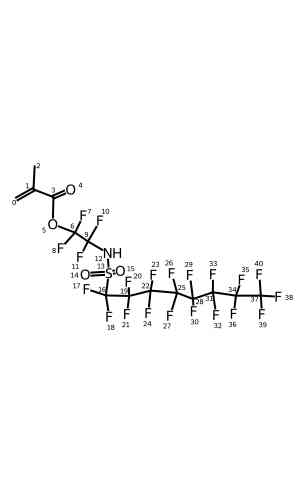 C=C(C)C(=O)OC(F)(F)C(F)(F)NS(=O)(=O)C(F)(F)C(F)(F)C(F)(F)C(F)(F)C(F)(F)C(F)(F)C(F)(F)C(F)(F)F